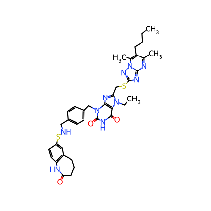 CCCCc1c(C)nc2nc(SCc3nc4c(c(=O)[nH]c(=O)n4Cc4ccc(CNSc5ccc6c(c5)CCCC(=O)N6)cc4)n3CC)nn2c1C